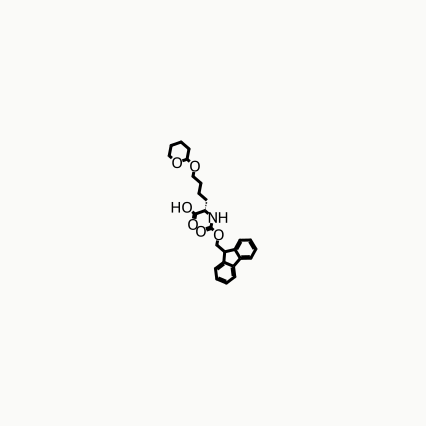 O=C(N[C@@H](CCCCOC1CCCCO1)C(=O)O)OCC1c2ccccc2-c2ccccc21